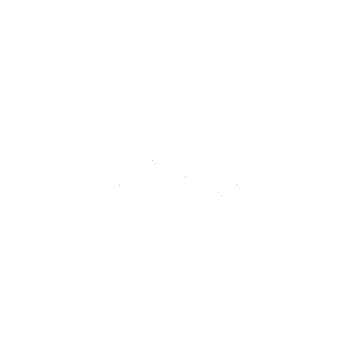 Cn1nc(C(C)(C)C)cc1NC(=O)NCc1ccccc1N